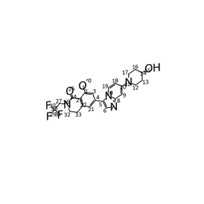 COc1cc(-c2cnc3cc(N4CCC(O)CC4)ccn23)cc2c1C(=O)N(CC(F)(F)F)CC2